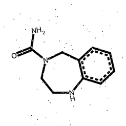 NC(=O)N1CCNc2ccccc2C1